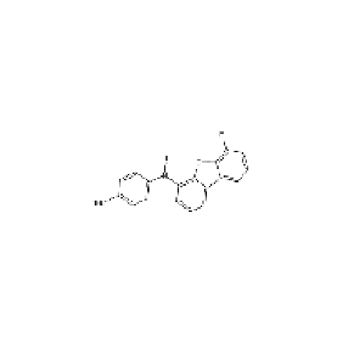 CC(C)(C)c1ccc(N(I)c2cccc3c2oc2c(F)cccc23)cc1